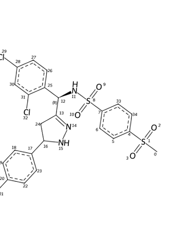 CS(=O)(=O)c1ccc(S(=O)(=O)N[C@@H](C2=NNC(c3ccc(Cl)cc3)C2)c2ccc(Cl)cc2Cl)cc1